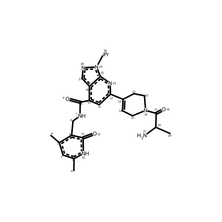 Cc1cc(C)c(CNC(=O)c2cc(C3=CCN(C(=O)C(C)N)CC3)nc3c2cnn3C(C)C)c(=O)[nH]1